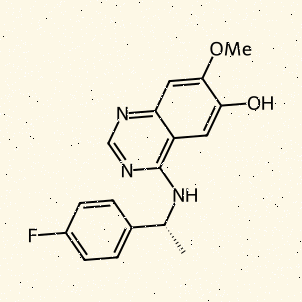 COc1cc2ncnc(N[C@H](C)c3ccc(F)cc3)c2cc1O